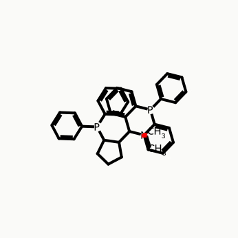 CN(C)C(c1ccccc1P(c1ccccc1)c1ccccc1)C1CCCC1P(c1ccccc1)c1ccccc1